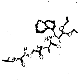 CCNC(=O)NOCC(=O)NC(C)C(=O)N[C@H](c1cccc2ccccc12)[C@H](C)C(OCC)OCC